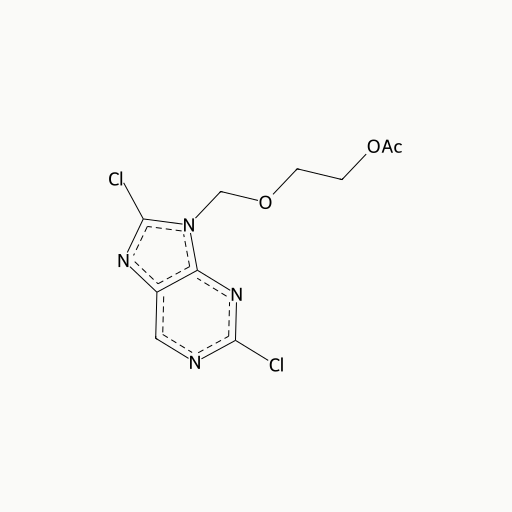 CC(=O)OCCOCn1c(Cl)nc2cnc(Cl)nc21